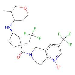 CC1COCCC1N[C@@H]1CC[C@](CC(F)(F)F)(C(=O)N2CCc3c(cc(C(F)(F)F)c[n+]3[O-])C2)C1